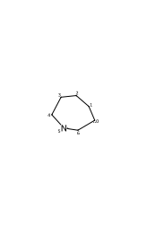 [C]1CCCC[N]C1